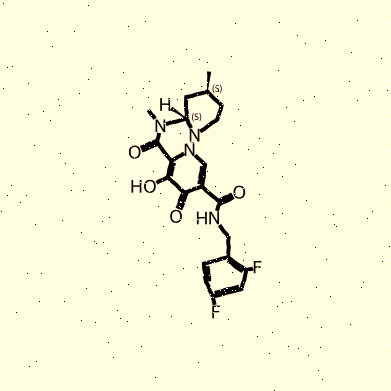 C[C@H]1CCN2[C@@H](C1)N(C)C(=O)c1c(O)c(=O)c(C(=O)NCc3ccc(F)cc3F)cn12